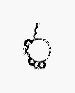 O=S1(=O)Nc2ccc(C(F)(F)F)c(n2)-c2ccccc2CCCCCCCCCN(CCCCO)c2cccc1n2